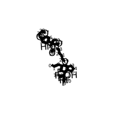 CC=Cc1cc(C(O)(C(F)(F)F)C(F)(F)F)c2c(c1OCCCCN1C(=O)NC(CC)(c3ccc4c(c3)OCCO4)C1=O)CCC2